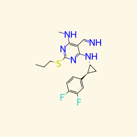 CCCSc1nc(NC)c(C=N)c(N[C@@H]2C[C@H]2c2ccc(F)c(F)c2)n1